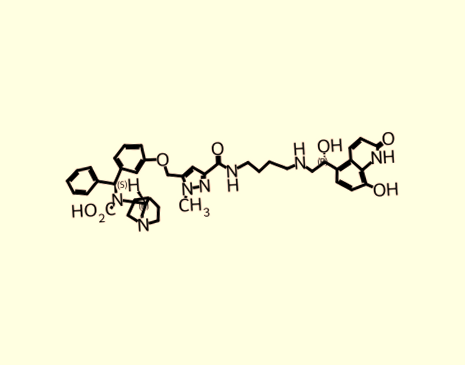 Cn1nc(C(=O)NCCCCNC[C@H](O)c2ccc(O)c3[nH]c(=O)ccc23)cc1COc1cccc([C@H](c2ccccc2)N(C(=O)O)[C@H]2CN3CCC2CC3)c1